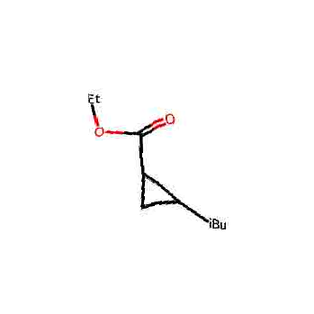 CCOC(=O)C1CC1C(C)CC